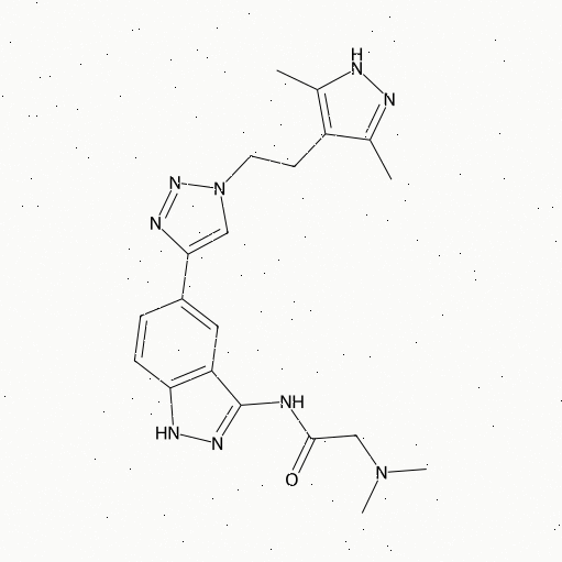 Cc1n[nH]c(C)c1CCn1cc(-c2ccc3[nH]nc(NC(=O)CN(C)C)c3c2)nn1